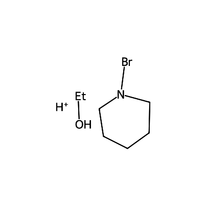 BrN1CCCCC1.CCO.[H+]